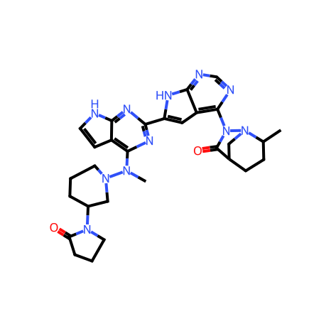 CC1CCC2CN1N(c1ncnc3[nH]c(-c4nc(N(C)N5CCCC(N6CCCC6=O)C5)c5cc[nH]c5n4)cc13)C2=O